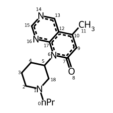 CCCN1CCCC(n2c(=O)cc(C)c3cncnc32)C1